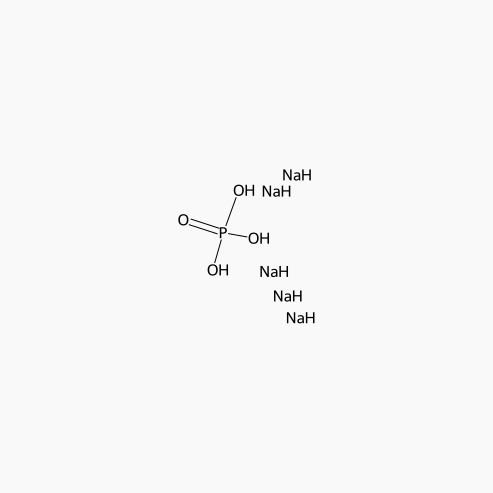 O=P(O)(O)O.[NaH].[NaH].[NaH].[NaH].[NaH]